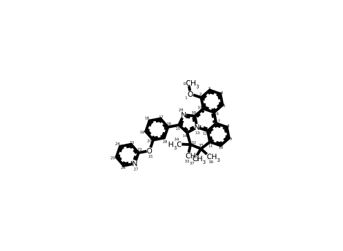 COc1cccc2c3cccc4c3n3c(c(-c5cccc(Oc6ccccn6)c5)nc3c12)C(C)(C)C4(C)C